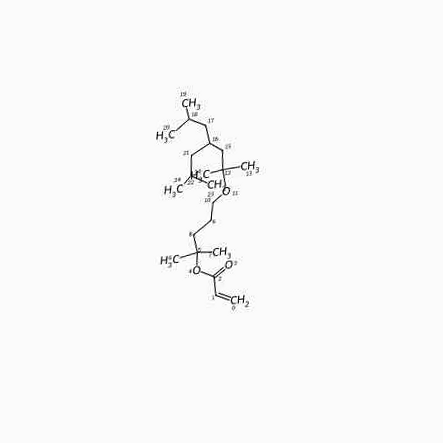 C=CC(=O)OC(C)(C)CCCOC(C)(C)CC(CC(C)C)CC(C)C